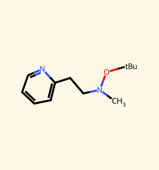 CN(CCc1ccccn1)OC(C)(C)C